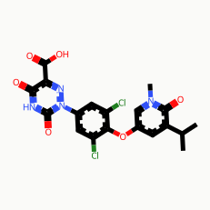 CC(C)c1cc(Oc2c(Cl)cc(-n3nc(C(=O)O)c(=O)[nH]c3=O)cc2Cl)cn(C)c1=O